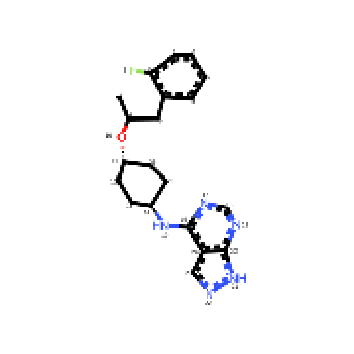 CC(Cc1ccccc1F)O[C@H]1CC[C@H](Nc2ncnc3[nH]ncc23)CC1